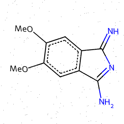 COc1cc2c(cc1OC)C(N)=NC2=N